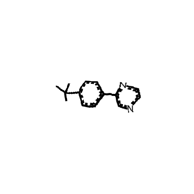 CC(C)(C)c1ccc(-c2cnccn2)cc1